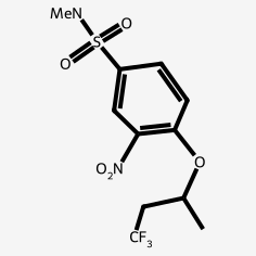 CNS(=O)(=O)c1ccc(OC(C)CC(F)(F)F)c([N+](=O)[O-])c1